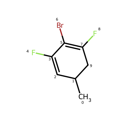 CC1C=C(F)C(Br)=C(F)C1